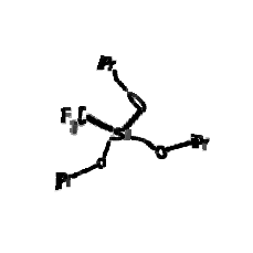 CC(C)O[Si](OC(C)C)(OC(C)C)C(F)(F)F